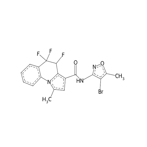 Cc1onc(NC(=O)c2cc(C)n3c2C(F)C(F)(F)c2ccccc2-3)c1Br